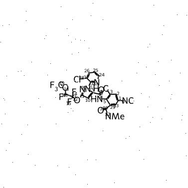 [C-]#[N+]c1cc(C)c(NC(=O)c2cc(OC(F)(F)C(F)OC(F)(F)F)nn2-c2ncccc2Cl)c(C(=O)NC)c1